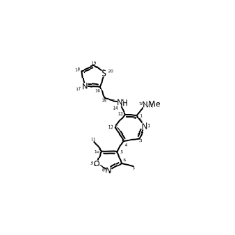 CNc1ncc(-c2c(C)noc2C)cc1NCc1nccs1